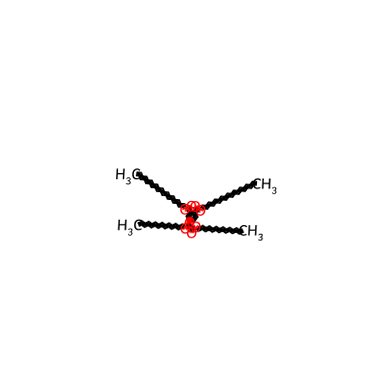 CCCCCCCCCCCCCCCCCCOC(=O)c1ccccc1C(=O)OCCCCCCCCCCCCCCCCCC.CCCCCCCCCCCCCCOC(=O)C(=O)OCCCCCCCCCCCCCC